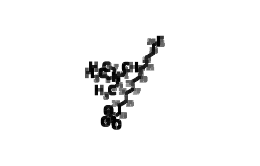 CC[N+](CC)(CC)CC.O=S(=O)([O-])CCCCCCCCCCCCF